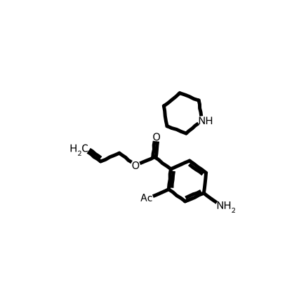 C1CCNCC1.C=CCOC(=O)c1ccc(N)cc1C(C)=O